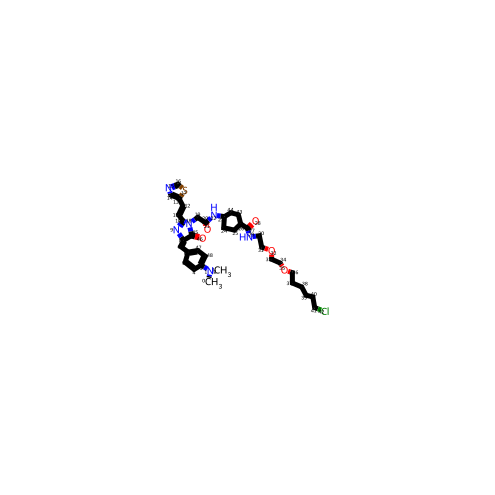 CN(C)c1ccc(/C=C2N=C(/C=C/c3cncs3)N(CC(=O)NC3CCC(C(=O)NCCOCCOCCCCCCCl)CC3)C/2=O)cc1